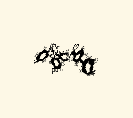 CC(C)N(NC(=O)C1(c2ccc(F)cc2)CCN(C(=O)c2ccc(-c3ccc(F)cc3)cc2)CC1)c1ccc(F)cc1